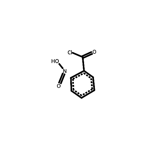 O=C(Cl)c1ccccc1.O=NO